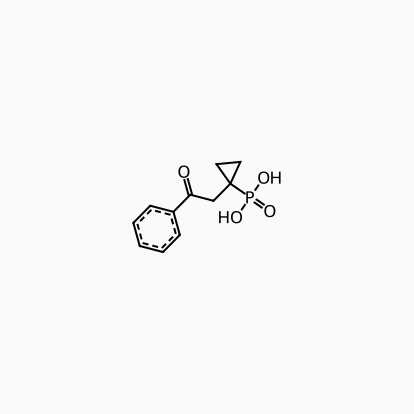 O=C(CC1(P(=O)(O)O)CC1)c1ccccc1